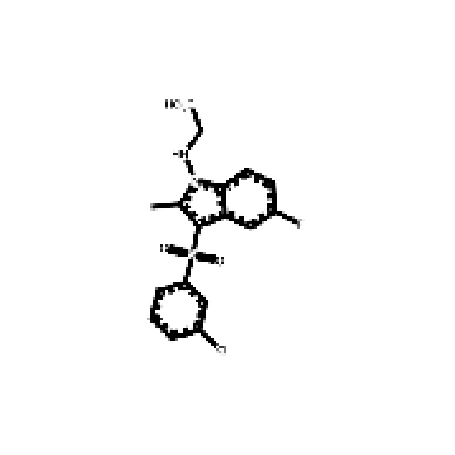 Cc1c(S(=O)(=O)c2cccc(Cl)c2)c2cc(F)ccc2n1NCC(=O)O